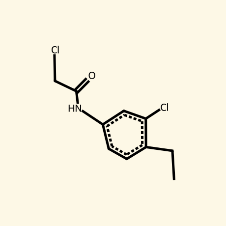 CCc1ccc(NC(=O)CCl)cc1Cl